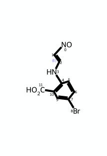 O=N/C=C/Nc1ccc(Br)cc1C(=O)O